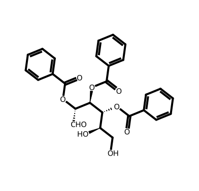 O=C[C@H](OC(=O)c1ccccc1)[C@@H](OC(=O)c1ccccc1)[C@H](OC(=O)c1ccccc1)[C@H](O)CO